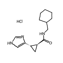 Cl.O=C(NCC1CCCCC1)[C@H]1C[C@@H]1c1c[nH]cn1